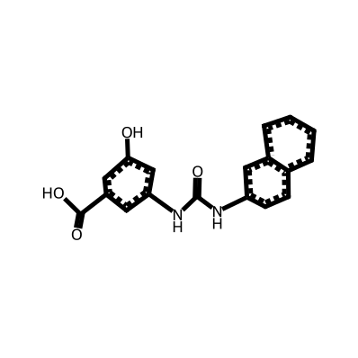 O=C(Nc1cc(O)cc(C(=O)O)c1)Nc1ccc2ccccc2c1